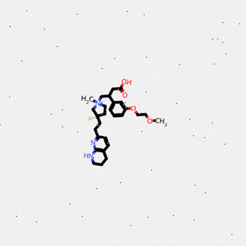 COCCOc1cccc(C(CC(=O)O)C[N+]2(C)CC[C@@](F)(CCc3ccc4c(n3)NCCC4)C2)c1